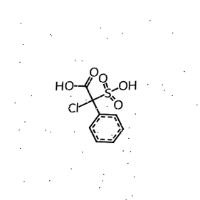 O=C(O)C(Cl)(c1ccccc1)S(=O)(=O)O